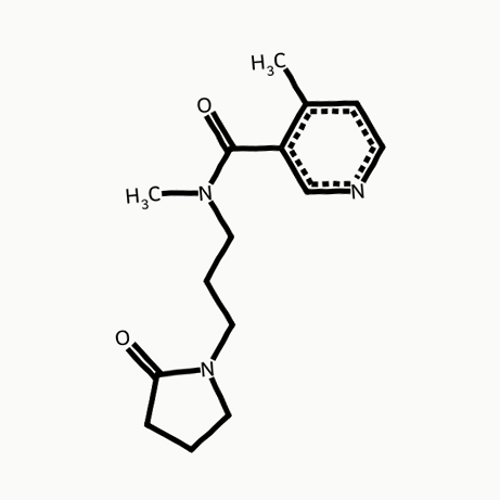 Cc1ccncc1C(=O)N(C)CCCN1CCCC1=O